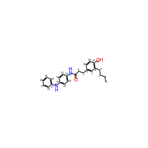 CCCCc1cc(CCC(=O)Nc2ccc(Nc3ccccc3)cc2)ccc1O